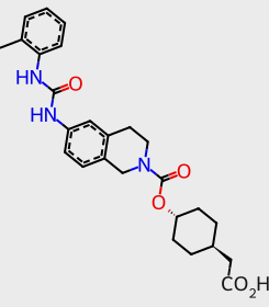 Cc1ccccc1NC(=O)Nc1ccc2c(c1)CCN(C(=O)O[C@H]1CC[C@H](CC(=O)O)CC1)C2